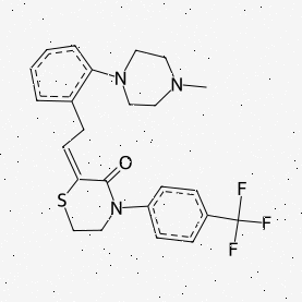 CN1CCN(c2ccccc2CC=C2SCCN(c3ccc(C(F)(F)F)cc3)C2=O)CC1